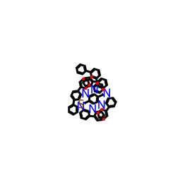 N#Cc1c(-n2c3ccccc3c3ccccc32)c(-n2c3ccccc3c3ccccc32)c(C#N)c(-n2c3cc(-c4c(-c5ccccc5)cccc4-c4ccccc4)ccc3c3ccc4c5ccccc5sc4c32)c1-n1c2ccccc2c2ccccc21